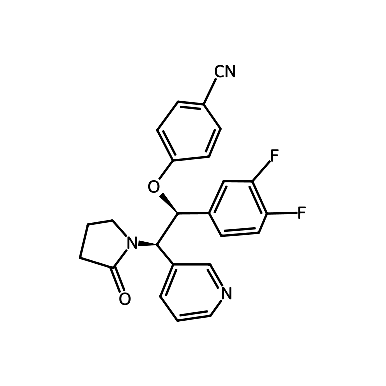 N#Cc1ccc(O[C@@H](c2ccc(F)c(F)c2)[C@@H](c2cccnc2)N2CCCC2=O)cc1